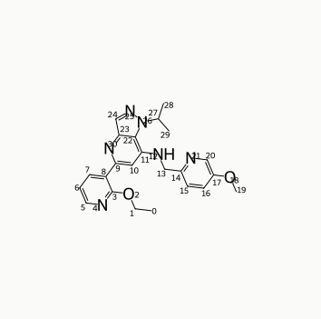 CCOc1ncccc1-c1cc(NCc2ccc(OC)cn2)c2c(cnn2C(C)C)n1